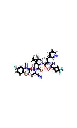 CC1(C)[C@@H]2[C@@H](C(=O)NC(C#N)C[C@@H]3Oc4ccc(F)cc4NC3=O)N(C(=O)C(Cc3cccnc3)NC(=O)C3CC(F)(F)C3)C[C@@H]21